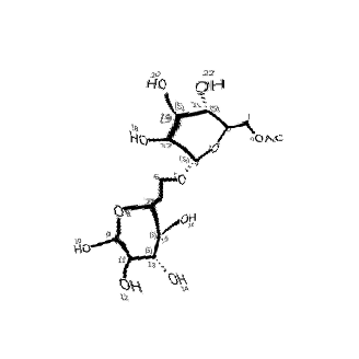 CC(=O)OCC1O[C@H](OCC2OC(O)C(O)[C@@H](O)[C@@H]2O)C(O)[C@@H](O)[C@@H]1O